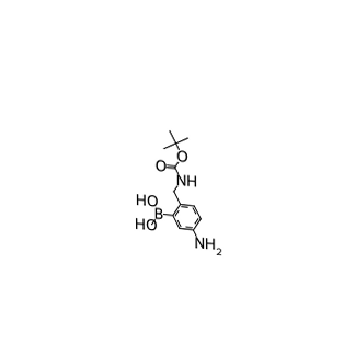 CC(C)(C)OC(=O)NCc1ccc(N)cc1B(O)O